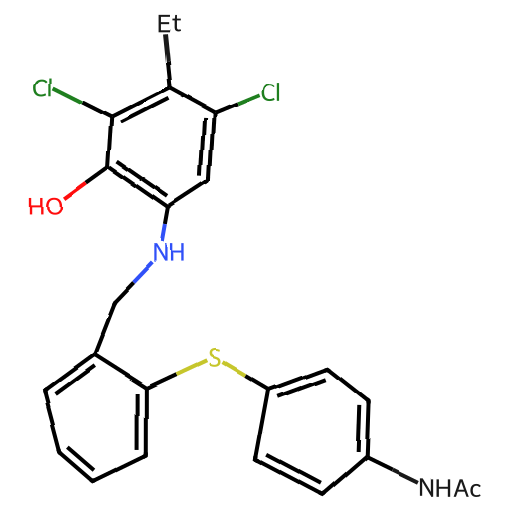 CCc1c(Cl)cc(NCc2ccccc2Sc2ccc(NC(C)=O)cc2)c(O)c1Cl